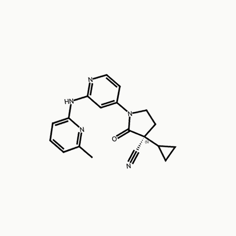 Cc1cccc(Nc2cc(N3CC[C@@](C#N)(C4CC4)C3=O)ccn2)n1